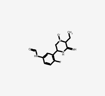 CCC1C(=N)NC(c2cc(NC=O)ccc2F)C[S+]1[O-]